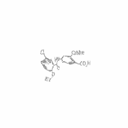 CCOc1ccc(Cl)cc1C(=O)Nc1ccc(C(=O)O)c(OC)c1